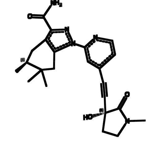 C[C@H]1Cc2c(C(N)=O)nn(-c3cc(C#C[C@]4(O)CCN(C)C4=O)ccn3)c2CC1(C)C